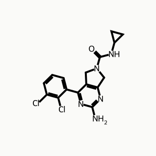 Nc1nc2c(c(-c3cccc(Cl)c3Cl)n1)CN(C(=O)NC1CC1)C2